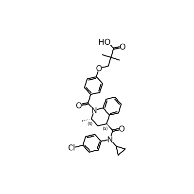 C[C@H]1C[C@H](C(=O)N(c2ccc(Cl)cc2)C2CC2)c2ccccc2N1C(=O)c1ccc(OCC(C)(C)C(=O)O)cc1